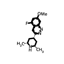 COc1cc(F)c2cc([C@H]3C[C@@H](C)N[C@@H](C)C3)nnc2c1